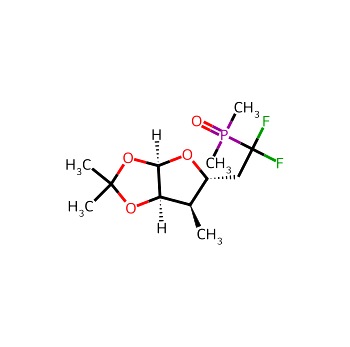 C[C@H]1[C@H]2OC(C)(C)O[C@H]2O[C@@H]1CC(F)(F)P(C)(C)=O